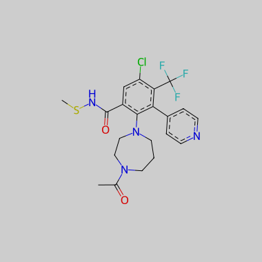 CSNC(=O)c1cc(Cl)c(C(F)(F)F)c(-c2ccncc2)c1N1CCCN(C(C)=O)CC1